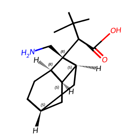 CC(C)(C)C(C(=O)O)[C@@]1(CN)[C@@H]2CC[C@H]3C[C@@H]2[C@@H]1C3